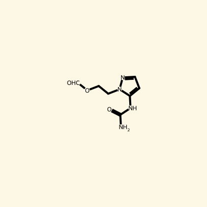 NC(=O)Nc1ccnn1CCOC=O